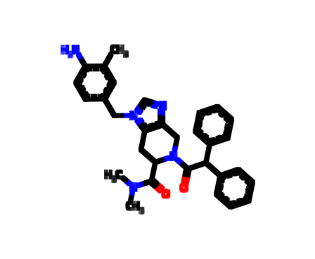 Cc1cc(Cn2cnc3c2CC(C(=O)N(C)C)N(C(=O)C(c2ccccc2)c2ccccc2)C3)ccc1N